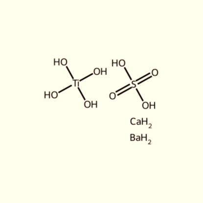 O=S(=O)(O)O.[BaH2].[CaH2].[OH][Ti]([OH])([OH])[OH]